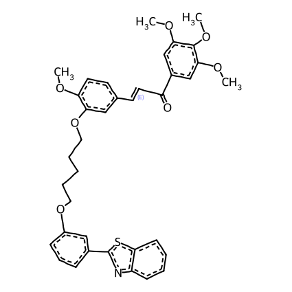 COc1ccc(/C=C/C(=O)c2cc(OC)c(OC)c(OC)c2)cc1OCCCCCOc1cccc(-c2nc3ccccc3s2)c1